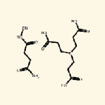 NC(=O)CCC(=O)NO.O=C(O)CCP(CCC(=O)O)CCC(=O)O